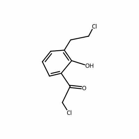 O=C(CCl)c1cccc(CCCl)c1O